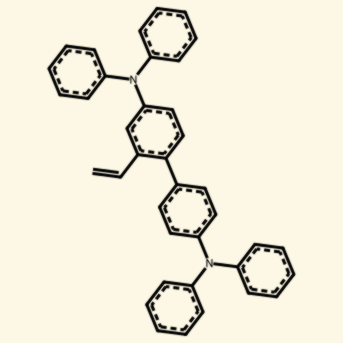 C=Cc1cc(N(c2ccccc2)c2ccccc2)ccc1-c1ccc(N(c2ccccc2)c2ccccc2)cc1